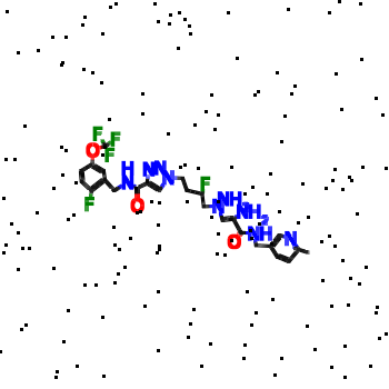 Cc1ccc(CNC(=O)/C(N)=C/N(N)CC(F)CCn2cc(C(=O)NCc3cc(OC(F)(F)F)ccc3F)nn2)cn1